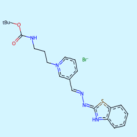 CC(C)(C)OC(=O)NCCC[n+]1cccc(/C=N/N=c2/[nH]c3ccccc3s2)c1.[Br-]